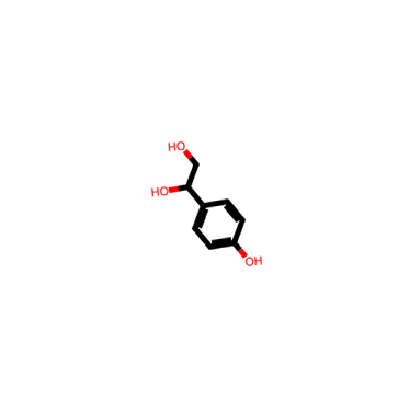 OCC(O)c1ccc(O)cc1